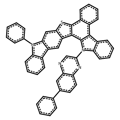 c1ccc(-c2ccc3nc(-n4c5ccccc5c5c6ccccc6c6sc7cc8c(cc7c6c54)c4ccccc4n8-c4ccccc4)cnc3c2)cc1